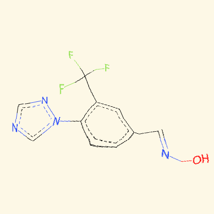 ON=Cc1ccc(-n2cncn2)c(C(F)(F)F)c1